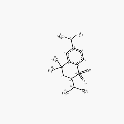 CC(C)c1ccc2c(c1)C(C)(C)CN(C(C)C)S2(=O)=O